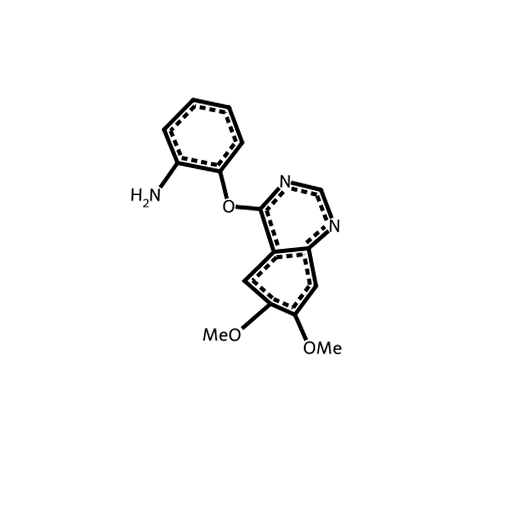 COc1cc2ncnc(Oc3ccccc3N)c2cc1OC